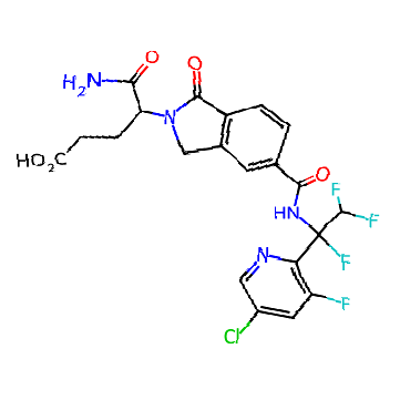 NC(=O)C(CCC(=O)O)N1Cc2cc(C(=O)NC(F)(c3ncc(Cl)cc3F)C(F)F)ccc2C1=O